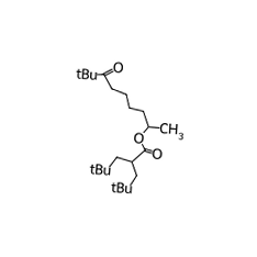 CC(CCCCC(=O)C(C)(C)C)OC(=O)C(CC(C)(C)C)CC(C)(C)C